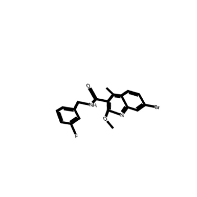 COc1nc2cc(Br)ccc2c(C)c1C(=O)NCc1cccc(F)c1